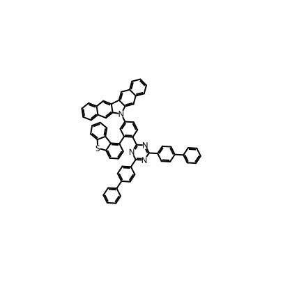 c1ccc(-c2ccc(-c3nc(-c4ccc(-c5ccccc5)cc4)nc(-c4ccc(-n5c6cc7ccccc7cc6c6cc7ccccc7cc65)cc4-c4cccc5sc6ccccc6c45)n3)cc2)cc1